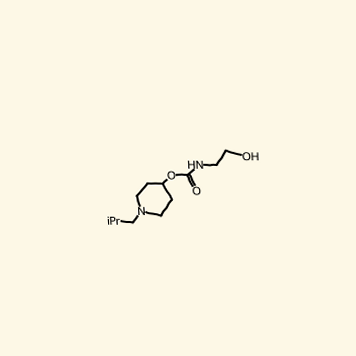 CC(C)CN1CCC(OC(=O)NCCO)CC1